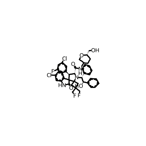 O=C(NC1CC[C@@H](CO)OC1)[C@H]1[C@H](c2cc(F)cc(Cl)c2)C2(C(=O)Nc3cc(Cl)ccc32)C2(CC(CF)(CF)C2)N1[C@H](c1ccccc1)[C@@H](O)c1ccccc1